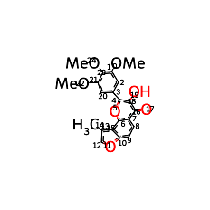 COc1cc(-c2oc3c(ccc4occ(C)c43)c(=O)c2O)cc(OC)c1OC